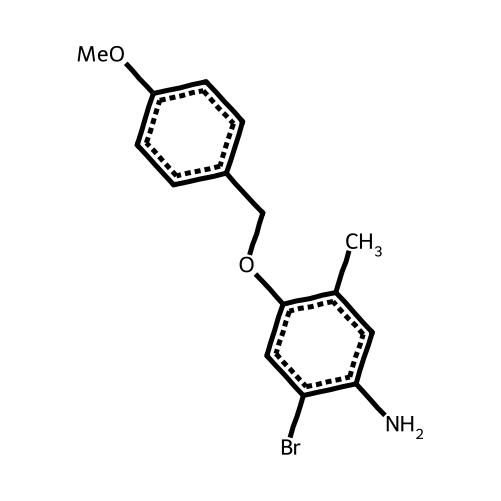 COc1ccc(COc2cc(Br)c(N)cc2C)cc1